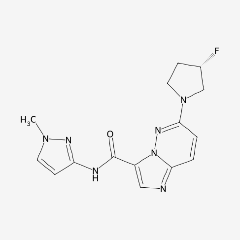 Cn1ccc(NC(=O)c2cnc3ccc(N4CC[C@H](F)C4)nn23)n1